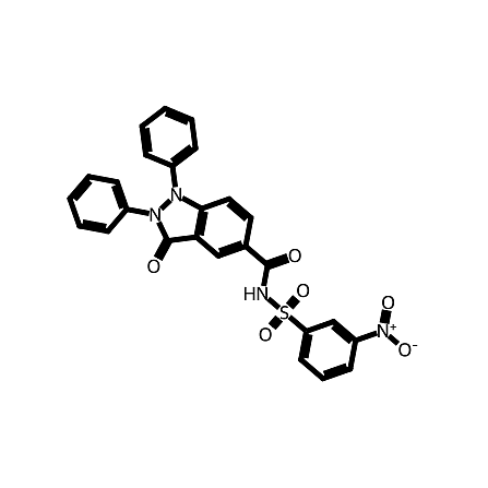 O=C(NS(=O)(=O)c1cccc([N+](=O)[O-])c1)c1ccc2c(c1)c(=O)n(-c1ccccc1)n2-c1ccccc1